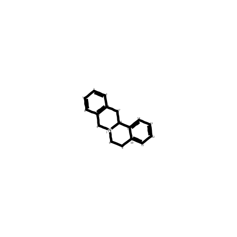 [c]1cccc2c1CN1CCc3ccccc3C1C2